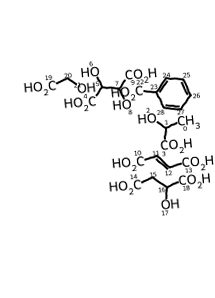 CC(O)C(=O)O.O=C(O)C(O)C(O)C(=O)O.O=C(O)C=CC(=O)O.O=C(O)CC(O)C(=O)O.O=C(O)CO.O=C(O)c1ccccc1